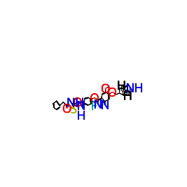 COc1cc2c(Oc3ccc(NOC(=S)NC(=O)Cc4ccccc4)cc3F)ncnc2cc1OCC1C[C@H]2CNC[C@H]2C1